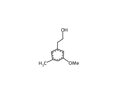 COc1cc(C)cc(CCO)c1